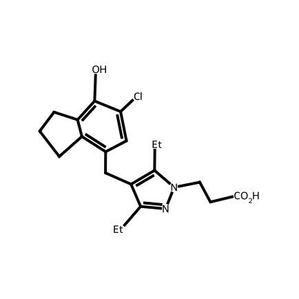 CCc1nn(CCC(=O)O)c(CC)c1Cc1cc(Cl)c(O)c2c1CCC2